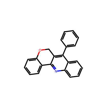 [c]1ccc2nc3c(c(-c4ccccc4)c2c1)COc1ccccc1-3